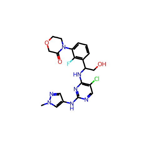 Cn1cc(Nc2ncc(Cl)c(NC(CO)c3cccc(N4CCOCC4=O)c3F)n2)cn1